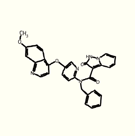 COc1ccc2c(Oc3ccc(N(Cc4ccccc4)C(=O)c4c(=O)[nH]n5ccccc45)nc3)ccnc2c1